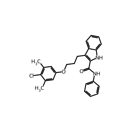 Cc1cc(OCCCc2c(C(=O)Nc3ccccc3)[nH]c3ccccc23)cc(C)c1Cl